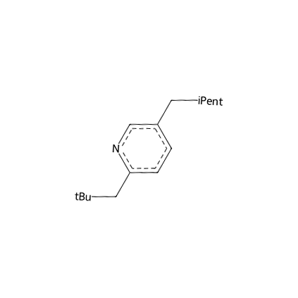 CCCC(C)Cc1ccc(CC(C)(C)C)nc1